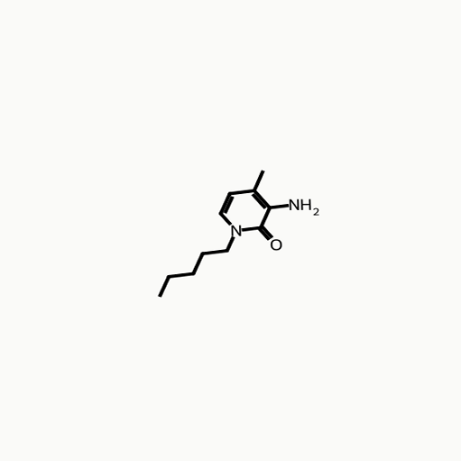 CCCCCn1ccc(C)c(N)c1=O